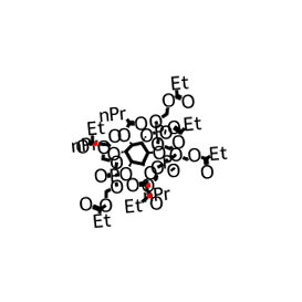 CCCC(=O)O[C@@H]1[C@H](OC(=O)CCC)[C@H](OP(=O)(OCOC(=O)CC)OCOC(=O)CC)[C@@H](OP(=O)(OCOC(=O)CC)OCOC(=O)CC)[C@H](OC(=O)CCC)[C@H]1OP(=O)(OCOC(=O)CC)OCOC(=O)CC